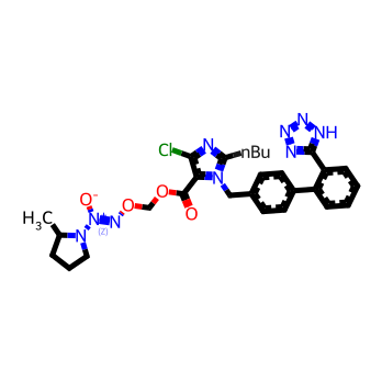 CCCCc1nc(Cl)c(C(=O)OCO/N=[N+](\[O-])N2CCCC2C)n1Cc1ccc(-c2ccccc2-c2nnn[nH]2)cc1